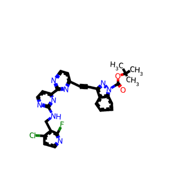 CC(C)(C)OC(=O)n1nc(C#Cc2ccnc(-c3ccnc(NCc4c(Cl)ccnc4F)n3)n2)c2ccccc21